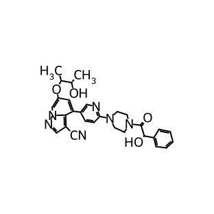 CC(Oc1cc(-c2ccc(N3CCN(C(=O)[C@H](O)c4ccccc4)CC3)nc2)c2c(C#N)cnn2c1)[C@@H](C)O